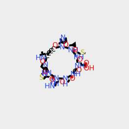 CC[C@@H]1NC(=O)[C@H](Cc2c[nH]cn2)NC(=O)[C@H](Cc2cscn2)NC(=O)[C@H]2CCCN2C(=O)[C@@H](NC(C)(C)C)CCCCC(=O)[C@H](Cc2cccnc2)NC(=O)[C@H](CC2CC2)NC(=O)[C@H](CCSC)NC(=O)[C@H](CCC(=O)O)NC(=O)CNC1=O